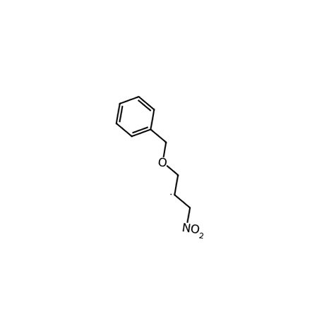 O=[N+]([O-])C[CH]COCc1ccccc1